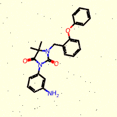 CC1(C)C(=O)N(c2cccc(N)c2)C(=O)N1Cc1ccccc1Oc1ccccc1